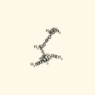 COCOc1ccc2c(c1)C[C@@H](CCCCCN(C)CCOCCOCCOCCC(=O)OC(C)(C)C)[C@H]1C3CCC(OCOC)[C@@]3(C)CC[C@H]21